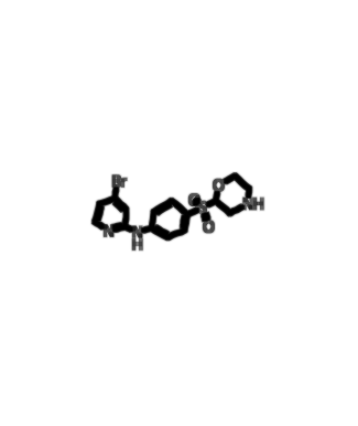 O=S(=O)(c1ccc(Nc2cc(Br)ccn2)cc1)C1CNCCO1